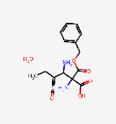 CCC(=C=O)C(N)C(N)(C(=O)O)C(=O)OCc1ccccc1.O